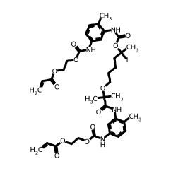 C=CC(=O)OCCOC(=O)Nc1ccc(C)c(NC(=O)OC(C)(I)CCCCOC(C)(C)C(=O)Nc2cc(NC(=O)OCCOC(=O)C=C)ccc2C)c1